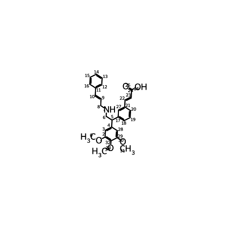 COc1cc(C(CNCC=Cc2ccccc2)c2cccc(C=CC(=O)O)c2)cc(OC)c1OC